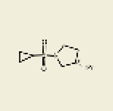 CC(C)[C@H]1CCN(S(=O)(=O)C2CC2)C1